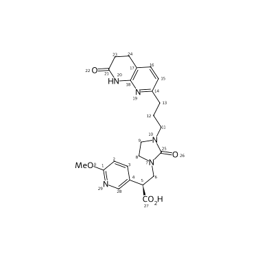 COc1ccc([C@@H](CN2CCN(CCCc3ccc4c(n3)NC(=O)CC4)C2=O)C(=O)O)cn1